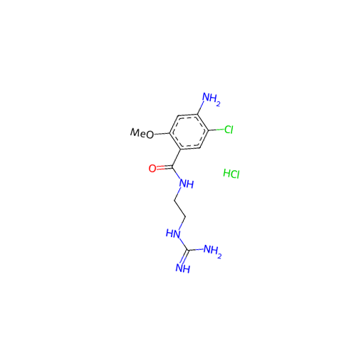 COc1cc(N)c(Cl)cc1C(=O)NCCNC(=N)N.Cl